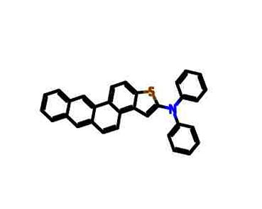 c1ccc(N(c2ccccc2)c2cc3c(ccc4c5cc6ccccc6cc5ccc34)s2)cc1